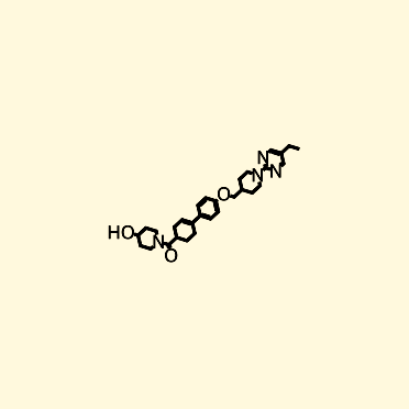 CCc1cnc(N2CCC(COc3ccc(C4=CCC(C(=O)N5CCC(O)CC5)CC4)cc3)CC2)nc1